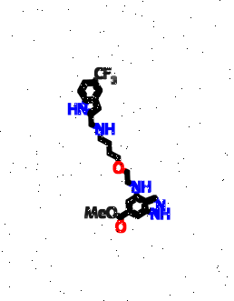 COC(=O)c1cc(NCCOCCCCNCc2cc3cc(C(F)(F)F)ccc3[nH]2)c2cn[nH]c2c1